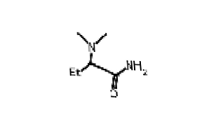 CCC(C(N)=O)N(C)C